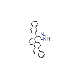 C1=NC(C(c2ccc3ccccc3c2)C2CCCc3c2ccc2c3ccc3ccccc32)CN1